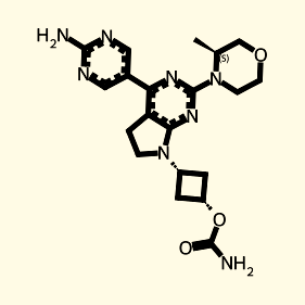 C[C@H]1COCCN1c1nc(-c2cnc(N)nc2)c2c(n1)N([C@H]1C[C@@H](OC(N)=O)C1)CC2